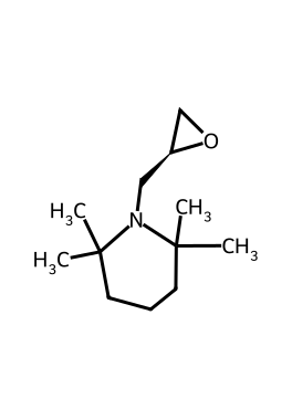 CC1(C)CCCC(C)(C)N1C[C@H]1CO1